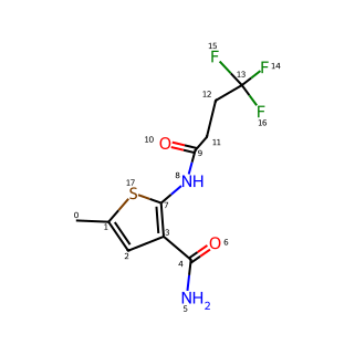 Cc1cc(C(N)=O)c(NC(=O)CCC(F)(F)F)s1